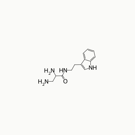 NCC(N)C(=O)NCCc1c[nH]c2ccccc12